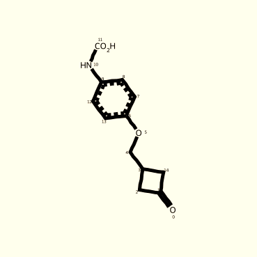 O=C1CC(COc2ccc(NC(=O)O)cc2)C1